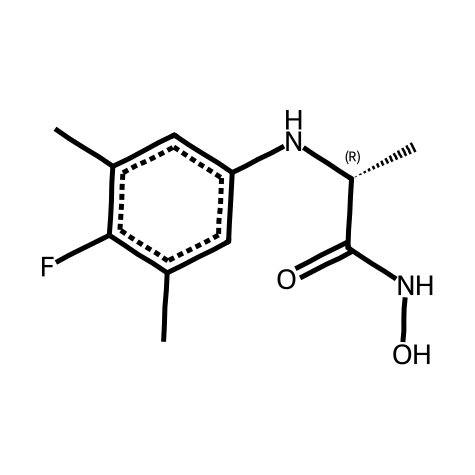 Cc1cc(N[C@H](C)C(=O)NO)cc(C)c1F